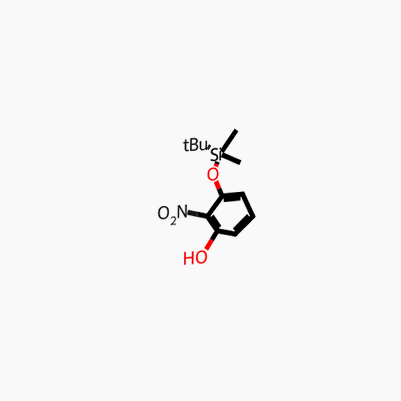 CC(C)(C)[Si](C)(C)Oc1cccc(O)c1[N+](=O)[O-]